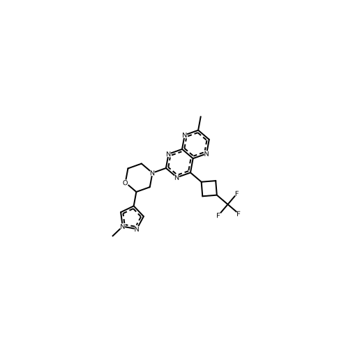 Cc1cnc2c(C3CC(C(F)(F)F)C3)nc(N3CCOC(c4cnn(C)c4)C3)nc2n1